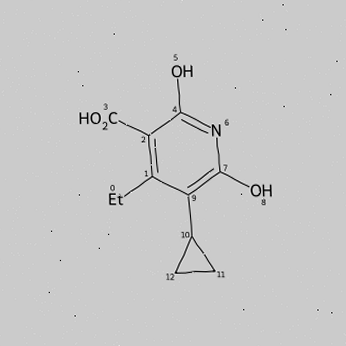 CCc1c(C(=O)O)c(O)nc(O)c1C1CC1